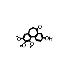 COc1cc2c(c(OC)c1OC)-c1ccc(O)cc1C(=O)CC2